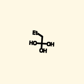 CCCC(O)(O)O